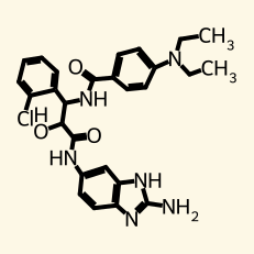 CCN(CC)c1ccc(C(=O)NC(c2ccccc2Cl)C(O)C(=O)Nc2ccc3nc(N)[nH]c3c2)cc1